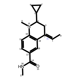 C/C=C1\CC(C2CC2)N(C)c2ccc(C(=O)NC)cc21